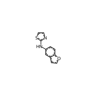 c1csc(Nc2ccc3occc3c2)n1